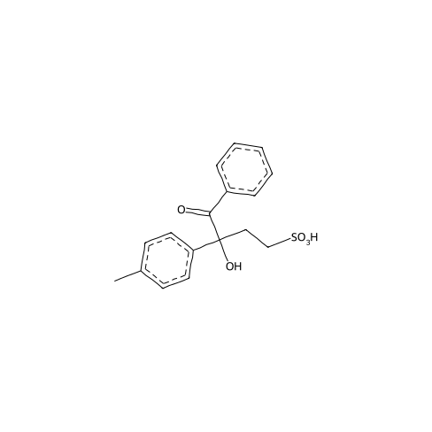 Cc1ccc(C(O)(CCS(=O)(=O)O)C(=O)c2ccccc2)cc1